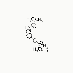 CC(C)c1cnnc(Nc2ccc3ncc(C4=CCN(C(=O)OC(C)(C)C)CC4)cc3n2)c1